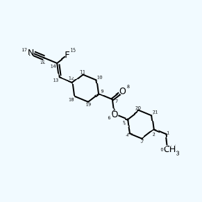 CCC1CCC(OC(=O)C2CCC(C=C(F)C#N)CC2)CC1